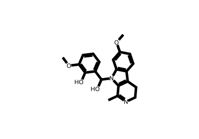 COc1ccc2c3c(n(C(O)c4cccc(OC)c4O)c2c1)C(C)=NCC3